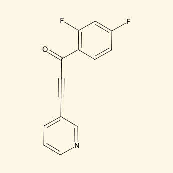 O=C(C#Cc1cccnc1)c1ccc(F)cc1F